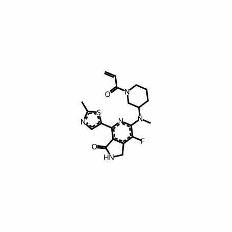 C=CC(=O)N1CCCC(N(C)c2nc(-c3cnc(C)s3)c3c(c2F)CNC3=O)C1